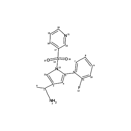 CC(N)c1cc(-c2ccccc2F)n(S(=O)(=O)c2cccnc2)c1